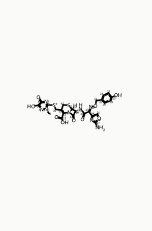 Cn1nc(O)c(=O)nc1SCC1=C(C(=O)O)N2C(=O)[C@@H](NC(=O)C(=NOCc3ccc(O)cc3)c3coc(N)n3)[C@@H]2SC1